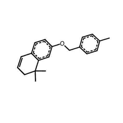 Cc1ccc(COc2ccc3c(c2)C(C)(C)CC=C3)cc1